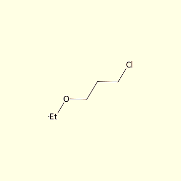 C[CH]OCCCCl